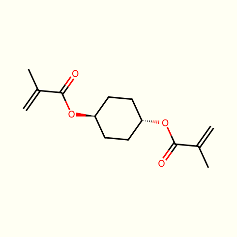 C=C(C)C(=O)O[C@H]1CC[C@H](OC(=O)C(=C)C)CC1